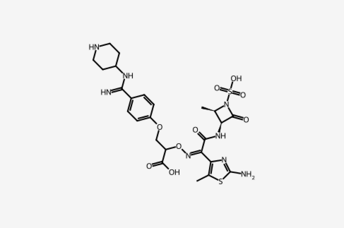 Cc1sc(N)nc1/C(=N/OC(COc1ccc(C(=N)NC2CCNCC2)cc1)C(=O)O)C(=O)N[C@@H]1C(=O)N(S(=O)(=O)O)[C@@H]1C